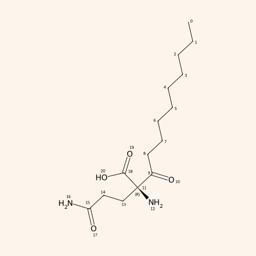 CCCCCCCCCC(=O)[C@](N)(CCC(N)=O)C(=O)O